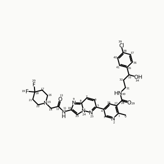 Cc1ncc(-c2ccc3nc(NC(=O)CN4CCC(F)(F)CC4)cn3n2)cc1C(=O)NCCC(O)c1ccc(Cl)cc1